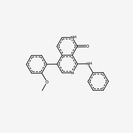 COc1ccccc1-c1cnc(Nc2ccccc2)c2c(=O)[nH]ccc12